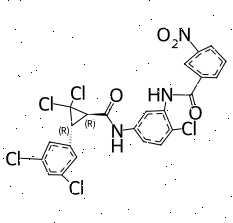 O=C(Nc1cc(NC(=O)[C@H]2[C@H](c3cc(Cl)cc(Cl)c3)C2(Cl)Cl)ccc1Cl)c1cccc([N+](=O)[O-])c1